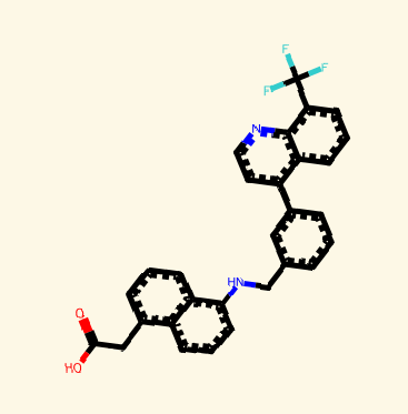 O=C(O)Cc1cccc2c(NCc3cccc(-c4ccnc5c(C(F)(F)F)cccc45)c3)cccc12